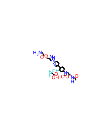 CC(=O)NC[C@H]1CN(c2ccc(-c3ccc(-n4cc(COC(=O)CN)nn4)nc3)c(F)c2)C(=O)O1.O=C(O)C(F)(F)F